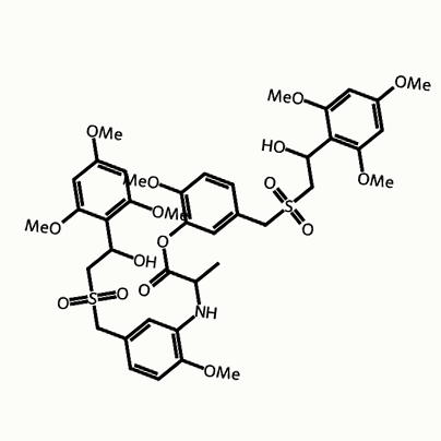 COc1cc(OC)c(C(O)CS(=O)(=O)Cc2ccc(OC)c(NC(C)C(=O)Oc3cc(CS(=O)(=O)CC(O)c4c(OC)cc(OC)cc4OC)ccc3OC)c2)c(OC)c1